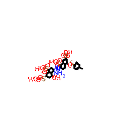 Cc1ccc(SOc2cc(S(=O)(=O)O)cc3c(S(=O)(=O)O)c(N=Nc4cc(S(=O)(=O)O)c5cc(SOOO)cc(O)c5c4N)ccc23)cc1